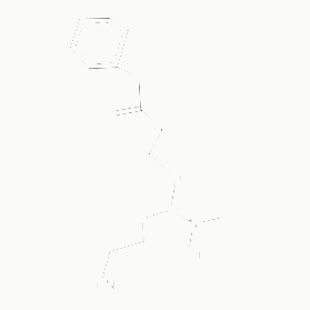 CC(C)N(C(C)C)P(OCCC#N)OCCC(=O)Oc1ccccc1